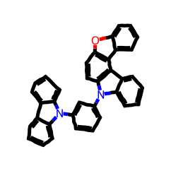 c1cc(-n2c3ccccc3c3ccccc32)cc(-n2c3ccccc3c3c4c(ccc32)oc2ccccc24)c1